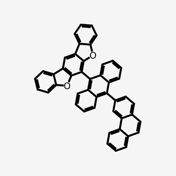 c1ccc2c(c1)ccc1ccc(-c3c4ccccc4c(-c4c5oc6ccccc6c5cc5c4oc4ccccc45)c4ccccc34)cc12